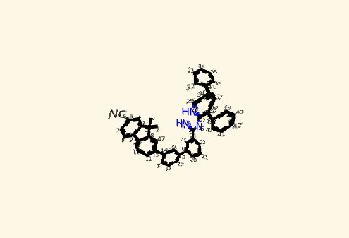 CC1(C)c2cc(C#N)ccc2-c2ccc(-c3cccc(-c4cccc(C(=N)/N=c5\[nH]cc(-c6ccccc6)cc5-c5ccccc5)c4)c3)cc21